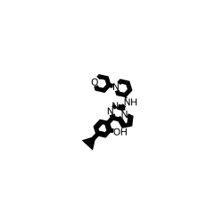 Oc1cc(C2CC2)ccc1-c1nnc(N[C@@H]2CCCN(C3CCOCC3)C2)n2cccc12